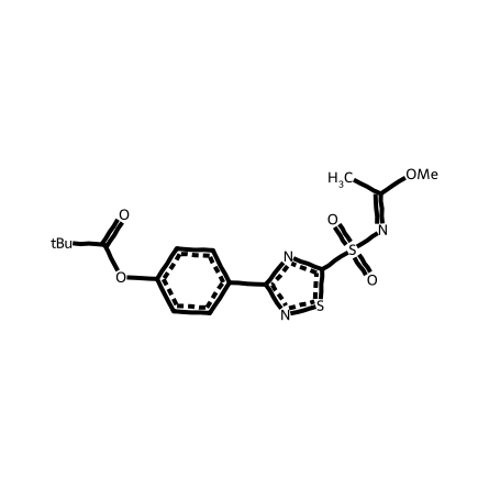 COC(C)=NS(=O)(=O)c1nc(-c2ccc(OC(=O)C(C)(C)C)cc2)ns1